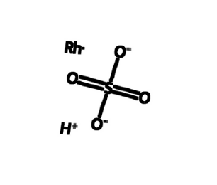 O=S(=O)([O-])[O-].[H+].[Rh]